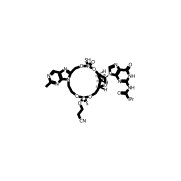 Cc1ncc2nc3n(c2n1)CCOP(=S)(OCCC#N)OC[C@H]1O[C@@H](n2cnc4c(=O)[nH]c(NC(=O)C(C)C)nc42)[C@H](OP(=O)(S)OC3)[C@@H]1F